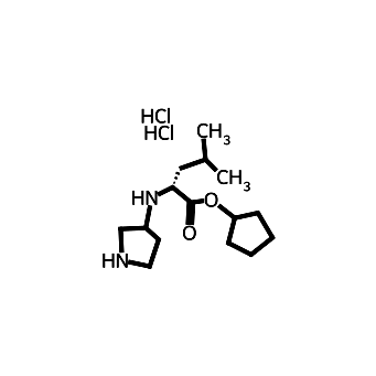 CC(C)C[C@@H](NC1CCNC1)C(=O)OC1CCCC1.Cl.Cl